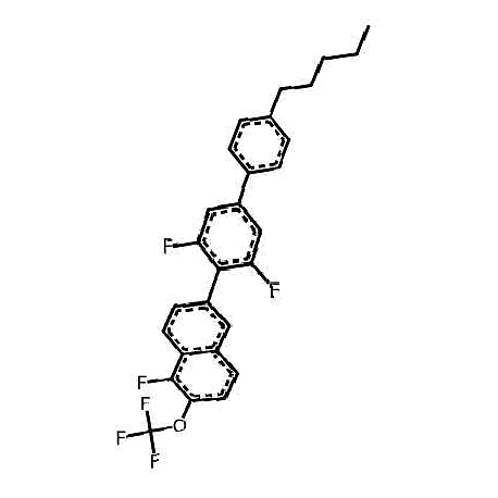 CCCCCc1ccc(-c2cc(F)c(-c3ccc4c(F)c(OC(F)(F)F)ccc4c3)c(F)c2)cc1